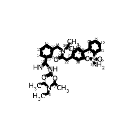 CCN(CC)C(C)OC(=O)NC(=N)c1cccc(CN(C(=O)Cc2ccc(-c3ccccc3S(N)(=O)=O)cc2)C(C)C)c1